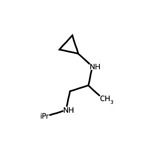 CC(C)NCC(C)NC1CC1